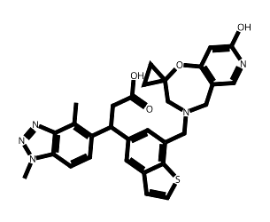 Cc1c(C(CC(=O)O)c2cc(CN3Cc4cnc(O)cc4OC4(CC4)C3)c3sccc3c2)ccc2c1nnn2C